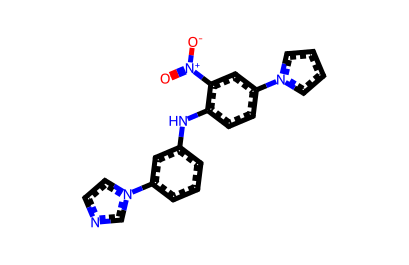 O=[N+]([O-])c1cc(-n2cccc2)ccc1Nc1cccc(-n2ccnc2)c1